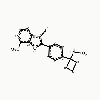 COc1nccc2c(I)c(-c3ccc(C4(NC(=O)O)CCC4)cc3)oc12